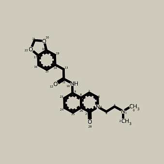 CN(C)CCn1ccc2c(NC(=O)Cc3ccc4c(c3)OCO4)cccc2c1=O